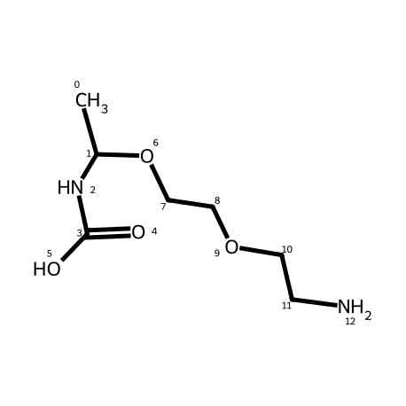 CC(NC(=O)O)OCCOCCN